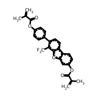 C=C(C)C(=O)Oc1ccc(-c2ccc3c(oc4cc(OC(=O)C(=C)C)ccc43)c2C(F)(F)F)cc1